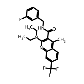 CCN(CC)c1nc2cc(C(F)(F)F)ccc2c(C)c1C(=O)NCc1cccc(F)c1